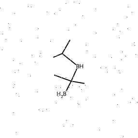 BC(C)(C)BC(C)C